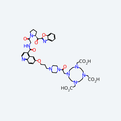 O=C(O)CN1CCN(CC(=O)O)CCN(CC(=O)N2CCN(CCCOc3ccc4nccc(C(=O)NCC(=O)N5CCC[C@H]5C(=O)c5nc6ccccc6o5)c4c3)CC2)CCN(CC(=O)O)CC1